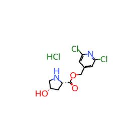 Cl.O=C(OCc1cc(Cl)nc(Cl)c1)[C@@H]1C[C@H](O)CN1